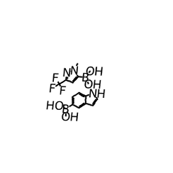 Cn1nc(C(F)(F)F)cc1B(O)O.OB(O)c1ccc2[nH]ccc2c1